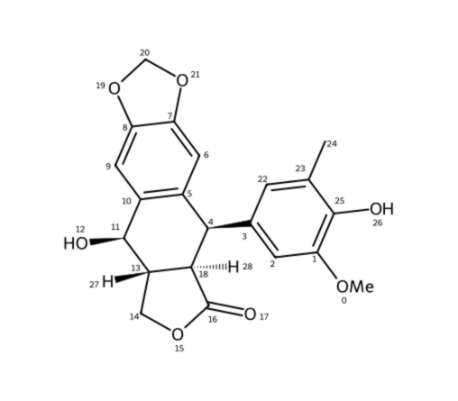 COc1cc([C@@H]2c3cc4c(cc3[C@H](O)[C@H]3COC(=O)[C@H]23)OCO4)cc(C)c1O